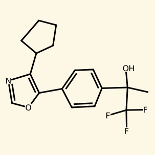 CC(O)(c1ccc(-c2ocnc2C2CCCC2)cc1)C(F)(F)F